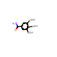 CCCCCCCCc1cc(C(N)=O)cc(CCCCCCCC)c1CCCCCCCC